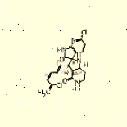 C=C(Cl)/C=C\C=C(/F)[C@H]1[C@@H]2C(=O)NCC[C@@H]2N[C@]12C(=O)Nc1nc(Cl)ccc12